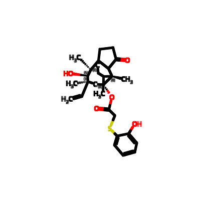 C=C[C@]1(C)C[C@@H](OC(=O)CSc2ccccc2O)[C@]2(C)C(C)CCC3(CCC(=O)C32)[C@@H](C)[C@@H]1O